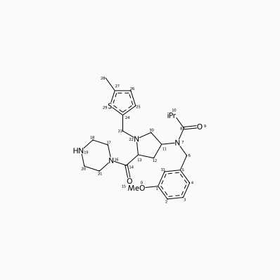 COc1cccc(CN(C(=O)C(C)C)C2CC(C(=O)N3CCNCC3)N(Cc3ccc(C)s3)C2)c1